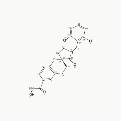 O=C(NO)c1ccc2c(c1)CC[C@]1(CCN(Cc3c(Cl)cccc3Cl)C1=O)C2